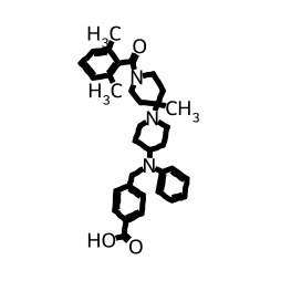 Cc1cccc(C)c1C(=O)N1CCC(C)(N2CCC(N(Cc3ccc(C(=O)O)cc3)c3ccccc3)CC2)CC1